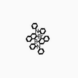 Brc1c(N(c2ccccc2)c2ccccc2)cc2ccccc2c1B1c2ccccc2N(c2ccccc2)c2cc3ccccc3cc21